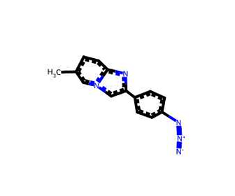 Cc1ccc2nc(-c3ccc(N=[N+]=[N-])cc3)cn2c1